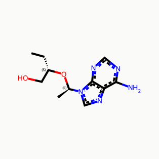 CC[C@@H](CO)O[C@H](C)n1cnc2c(N)ncnc21